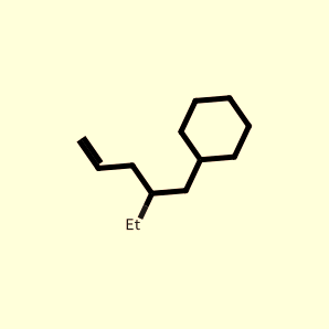 C=CCC(CC)CC1CCCCC1